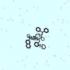 O=C(NCC1CCN(CC(c2ccccc2)c2ccccc2)C(=O)C(Cc2ccccc2N2CCCCC2)N1)c1ccc2ccccc2c1